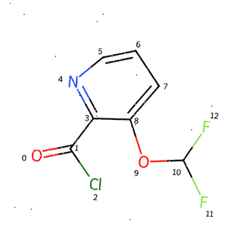 O=C(Cl)c1ncccc1OC(F)F